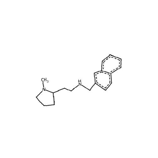 CN1CCCC1CCNCc1ccc2ccccc2c1